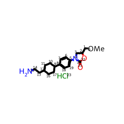 COCC1CN(c2ccc(C3CCC(CCN)CC3)cc2)C(=O)O1.Cl